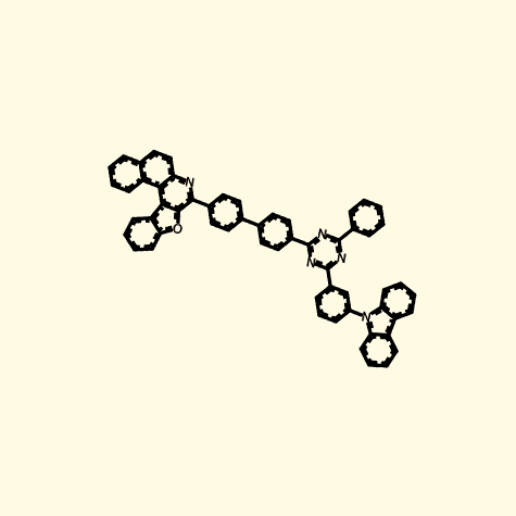 c1ccc(-c2nc(-c3ccc(-c4ccc(-c5nc6ccc7ccccc7c6c6c5oc5ccccc56)cc4)cc3)nc(-c3cccc(-n4c5ccccc5c5ccccc54)c3)n2)cc1